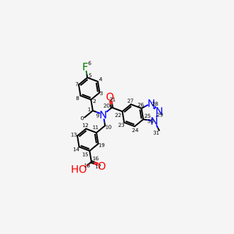 CC(c1ccc(F)cc1)N(Cc1cccc(C(=O)O)c1)C(=O)c1ccc2c(c1)nnn2C